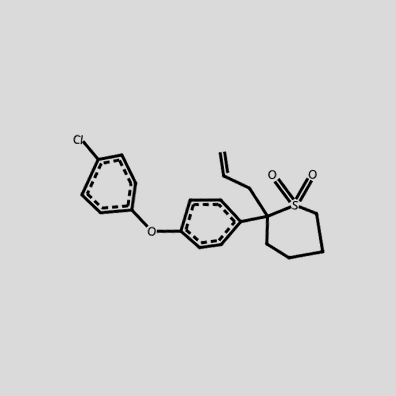 C=CCC1(c2ccc(Oc3ccc(Cl)cc3)cc2)CCCCS1(=O)=O